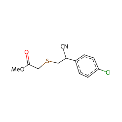 COC(=O)CSCC(C#N)c1ccc(Cl)cc1